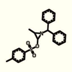 Cc1ccc(S(=O)(=O)OC2C(C)N2C(c2ccccc2)c2ccccc2)cc1